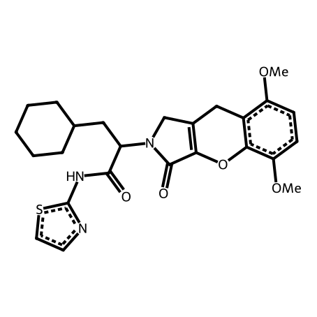 COc1ccc(OC)c2c1CC1=C(O2)C(=O)N(C(CC2CCCCC2)C(=O)Nc2nccs2)C1